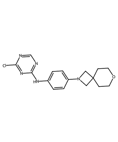 Clc1ncnc(Nc2ccc(N3CC4(CCOCC4)C3)cc2)n1